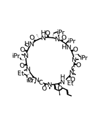 C/C=C/C[C@@H](C)/C=C1\C(=O)N[C@@H](CC)C(=O)N(C)CC(=O)N(C)[C@@H](CC(C)C)C(=O)NC(C(C)C)C(=O)N(C)[C@@H](CC(C)C)C(=O)N[C@@H](C)C(=O)N[C@H](C)C(=O)N(C)[C@@H](CC(C)C)C(=O)N(C)[C@@H](C(CC)C(C)C)C(=O)N(C)CC(=O)N1C